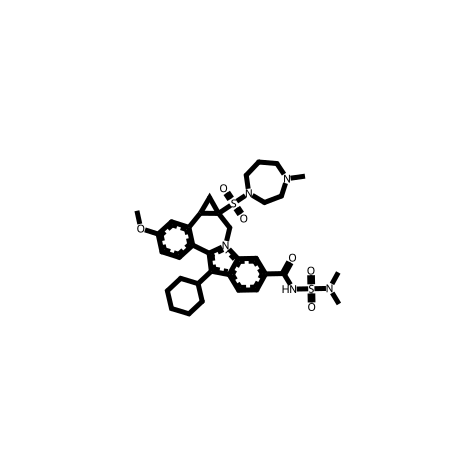 COc1ccc2c(c1)C1CC1(S(=O)(=O)N1CCCN(C)CC1)Cn1c-2c(C2CCCCC2)c2ccc(C(=O)NS(=O)(=O)N(C)C)cc21